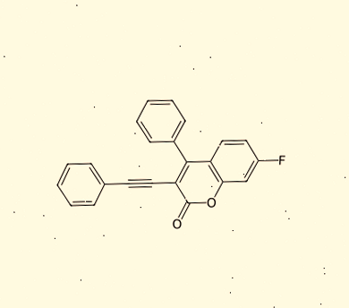 O=c1oc2cc(F)ccc2c(-c2ccccc2)c1C#Cc1ccccc1